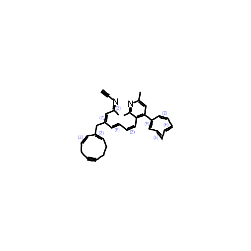 C#C\N=C(C)/C=C(\C=C\C=C/c1c(C2=C/C=C/C=C/C=C\2)cc(C)nc1C)CC1=C/CCC#CC/C=C\1